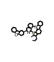 C/C=C\c1c(C)n(-c2cccc(-c3ccc4oc5ccccc5c4c3)n2)c2c1ccc1c3ccccc3n(-c3ccccc3)c12